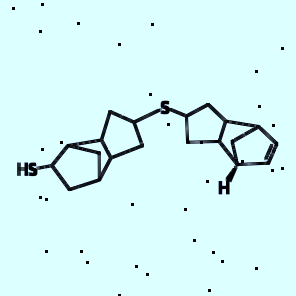 SC1CC2CC1C1CC(SC3CC4C5C=C[C@@H](C5)C4C3)CC21